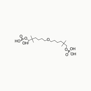 CC(OP(=O)(O)O)C(C)(C)CCCCOCCCCC(C)(C)COP(=O)(O)O